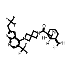 [2H]C([2H])=C1CC2CC[C@H]1[C@@H](C(=O)N1CC3(C1)CN(c1c(C(F)(F)F)cnc4sc(CC(F)(F)F)cc14)C3)N2